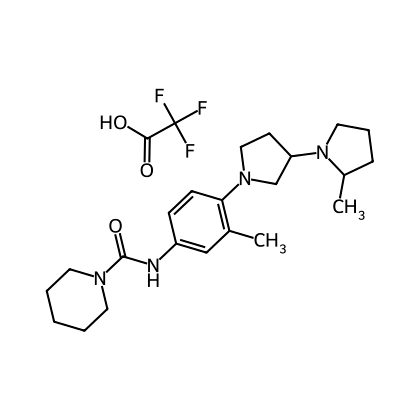 Cc1cc(NC(=O)N2CCCCC2)ccc1N1CCC(N2CCCC2C)C1.O=C(O)C(F)(F)F